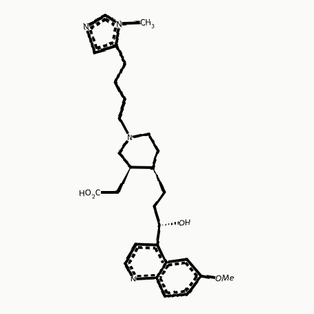 COc1ccc2nccc([C@@H](O)CC[C@@H]3CCN(CCCCc4cncn4C)C[C@@H]3CC(=O)O)c2c1